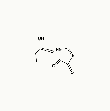 CCC(=O)O.O=C1N=CNC1=O